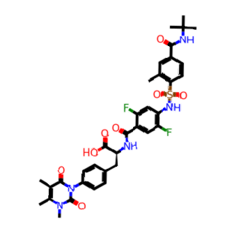 Cc1cc(C(=O)NC(C)(C)C)ccc1S(=O)(=O)Nc1cc(F)c(C(=O)N[C@@H](Cc2ccc(-n3c(=O)c(C)c(C)n(C)c3=O)cc2)C(=O)O)cc1F